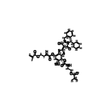 C=C(C)C(=O)OCCNC(=O)Oc1cc(C(C)(C)C)c(OC(=O)NCCOC(=O)C(=C)C)c2c1SC(=C1C(=O)N(Cc3ccccc3)N(Cc3ccccc3)C1=O)S2